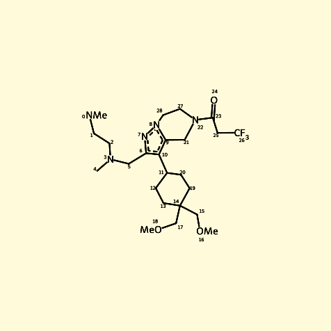 CNCCN(C)Cc1nn2c(c1C1CCC(COC)(COC)CC1)CN(C(=O)CC(F)(F)F)CC2